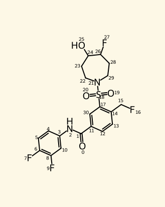 O=C(Nc1ccc(F)c(F)c1)c1ccc(CF)c(S(=O)(=O)N2CCC(O)C(F)CC2)c1